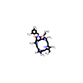 C=Cc1c(C)c2cc3nc(c4c5[nH]c(cc6nc(cc1[nH]2)C(C)=C6CC)c(C)c5C(=O)N(Cc1cc(C(F)(F)F)cc(C(F)(F)F)c1)C4=O)[C@@H](CCC=O)[C@@H]3C